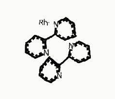 [Rh].c1ccc(-c2ccccn2)nc1.c1ccc(-c2ccccn2)nc1